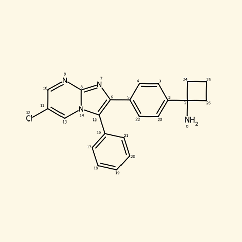 NC1(c2ccc(-c3nc4ncc(Cl)cn4c3-c3ccccc3)cc2)CCC1